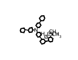 C[Si](C)(C)c1cccc2c1oc1c(-c3ccc(N(c4ccc(-c5ccccc5)cc4)c4ccc(-c5ccccc5)cc4)cc3)cccc12